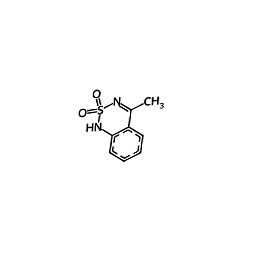 CC1=NS(=O)(=O)Nc2ccccc21